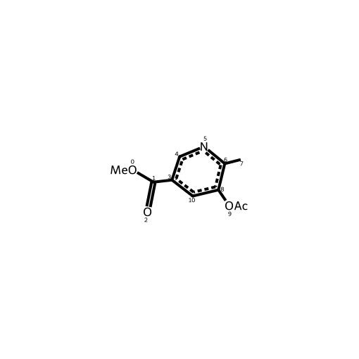 COC(=O)c1cnc(C)c(OC(C)=O)c1